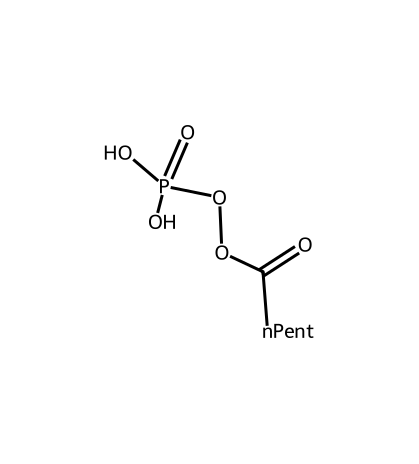 CCCCCC(=O)OOP(=O)(O)O